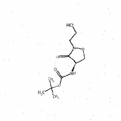 CC(C)(C)OC(=O)N[C@@H]1CON(CCO)C1=O